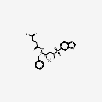 CCC(=O)CCC(=O)N[C@@H](Cc1ccccc1)[C@H](O)CN(C[C@@H](C)CC)S(=O)(=O)c1ccc2ncsc2c1